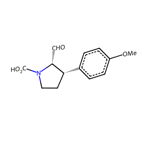 COc1ccc([C@@H]2CCN(C(=O)O)[C@@H]2C=O)cc1